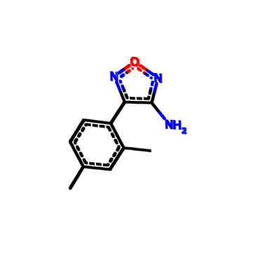 Cc1ccc(-c2nonc2N)c(C)c1